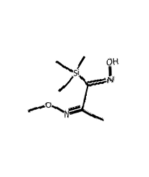 CON=C(C)C(=NO)[Si](C)(C)C